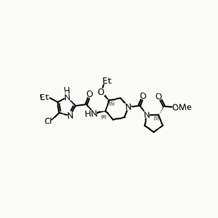 CCO[C@H]1CN(C(=O)N2CCC[C@H]2C(=O)OC)CC[C@H]1NC(=O)c1nc(Cl)c(CC)[nH]1